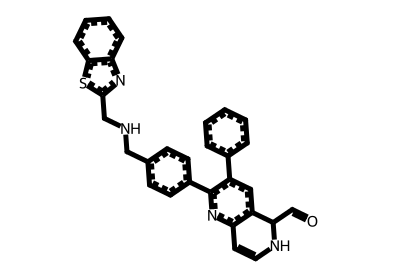 O=CC1NC=Cc2nc(-c3ccc(CNCc4nc5ccccc5s4)cc3)c(-c3ccccc3)cc21